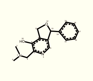 CN(C)Cc1ncc2c(c1O)COC2c1ccccc1